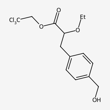 CCOC(Cc1ccc(CO)cc1)C(=O)OCC(Cl)(Cl)Cl